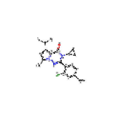 CCC(CC)c1cc(C)n2nc(-c3ccc(OC)cc3Cl)n(C3CC3)c(=O)c12